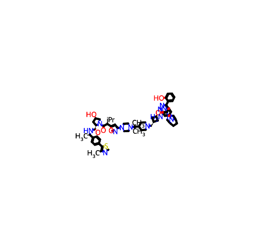 Cc1ncsc1-c1ccc([C@H](C)NC(=O)[C@@H]2C[C@@H](O)CN2C(=O)[C@H](c2cc(N3CCN(C(C)(C)C4CCN(C[C@H]5C[C@H](Oc6cc(N7C8CCC7CN(c7cc(-c9ccccc9O)nnc7N)C8)ccn6)C5)CC4)CC3)no2)C(C)C)cc1